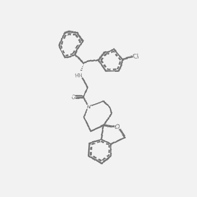 O=C(CN[C@H](c1ccccc1)c1ccc(Cl)cc1)N1CCC2(CC1)OCc1ccccc12